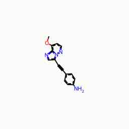 COc1ccnn2c(C#Cc3ccc(N)cc3)cnc12